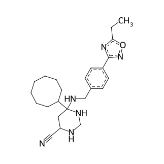 CCc1nc(-c2ccc(CNC3(C4CCCCCCC4)CC(C#N)NCN3)cc2)no1